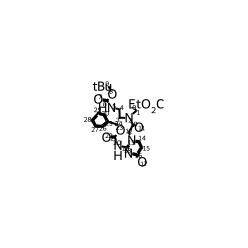 CCOC(=O)CN(CCNC(=O)OC(C)(C)C)C(=O)Cn1ccc(=O)nc1NC(=O)OCc1ccccc1